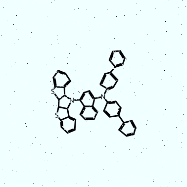 c1ccc(-c2ccc(N(c3ccc(-c4ccccc4)cc3)c3ccc(N4C5c6ccccc6SC5C5Sc6ccccc6C54)c4ccccc34)cc2)cc1